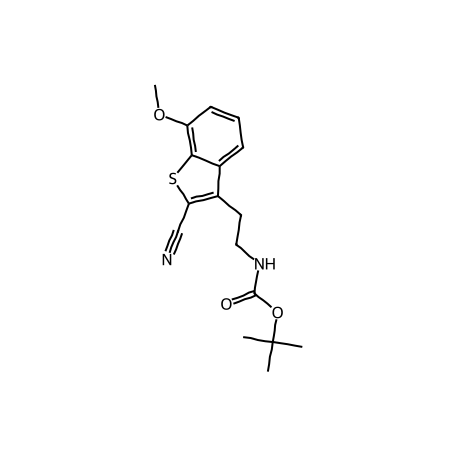 COc1cccc2c(CCNC(=O)OC(C)(C)C)c(C#N)sc12